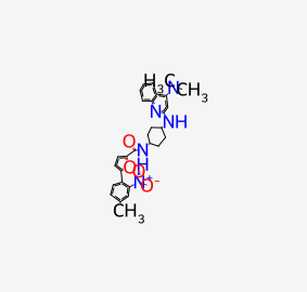 Cc1ccc(-c2ccc(C(=O)N[C@H]3CC[C@@H](Nc4cc(N(C)C)c5ccccc5n4)CC3)o2)c([N+](=O)[O-])c1